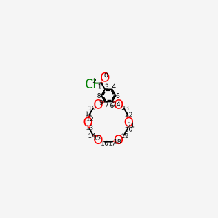 O=C(Cl)c1ccc2c(c1)OCCOCCOCCOCCOCCO2